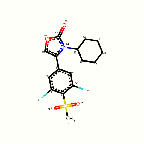 CS(=O)(=O)c1c(F)cc(-c2coc(=O)n2C2CCCCC2)cc1F